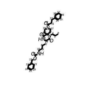 CCCN1C(=O)[C@H](CCCCNC(=O)OCc2ccccc2)NC(=O)C12CCN(C(=O)CCc1ccccc1)CC2